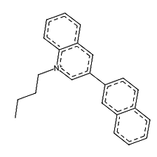 CCCC[n+]1cc(-c2ccc3ccccc3c2)cc2ccccc21